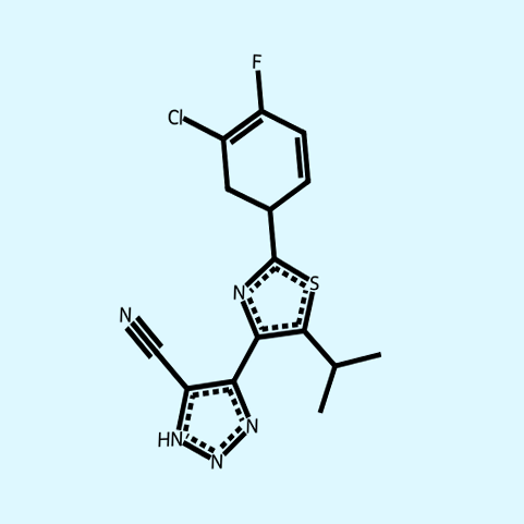 CC(C)c1sc(C2C=CC(F)=C(Cl)C2)nc1-c1nn[nH]c1C#N